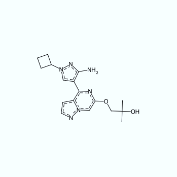 CC(C)(O)COc1cn2nccc2c(-c2cn(C3CCC3)nc2N)n1